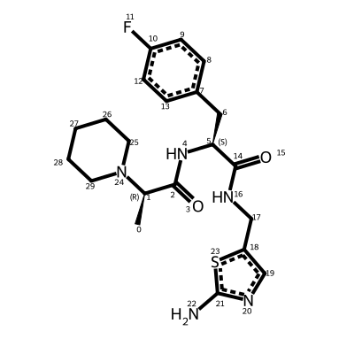 C[C@H](C(=O)N[C@@H](Cc1ccc(F)cc1)C(=O)NCc1cnc(N)s1)N1CCCCC1